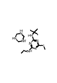 C1NCNCN1.CCNc1nc(NC(C)(C)C)nc(SC)n1